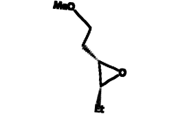 CC[C@H]1O[C@H]1CCOC